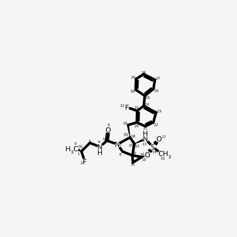 C[C@H](F)CNC(=O)N1CC2(CC2)[C@H](NS(C)(=O)=O)[C@@H]1Cc1cccc(-c2ccccc2)c1F